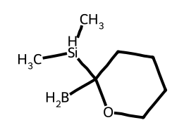 BC1([SiH](C)C)CCCCO1